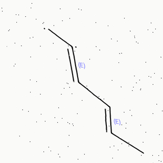 [CH2]/[C]=C/C=C/C